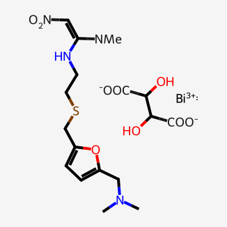 CN/C(=C/[N+](=O)[O-])NCCSCc1ccc(CN(C)C)o1.O=C([O-])C(O)C(O)C(=O)[O-].[Bi+3]